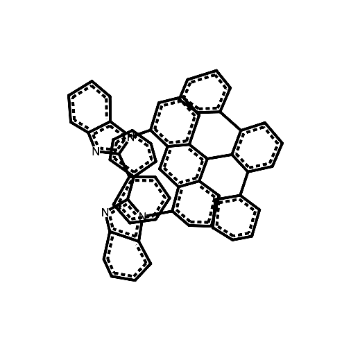 c1ccc(-c2cccc(-c3ccccc3)c2-c2c3cccc(-n4c(-c5ccccc5)nc5ccccc54)c3cc3c(-n4c(-c5ccccc5)nc5ccccc54)cccc23)cc1